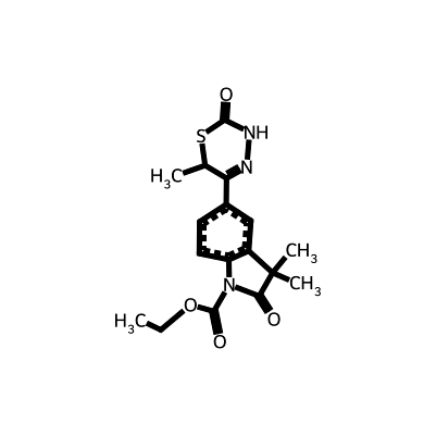 CCOC(=O)N1C(=O)C(C)(C)c2cc(C3=NNC(=O)SC3C)ccc21